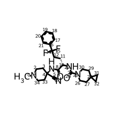 CN1CCC(C#N)(NC(=O)[C@H](CCC(F)(F)c2ccccc2)NC(=O)N2CCC3(CC2)CC3)CC1